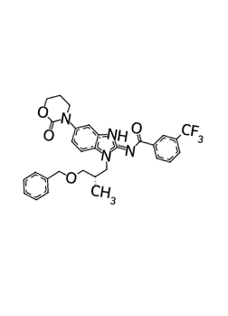 C[C@H](COCc1ccccc1)Cn1/c(=N/C(=O)c2cccc(C(F)(F)F)c2)[nH]c2cc(N3CCCOC3=O)ccc21